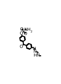 CNCN=Nc1ccc(C(=O)c2ccc(OS(N)(=O)=O)cc2)cc1